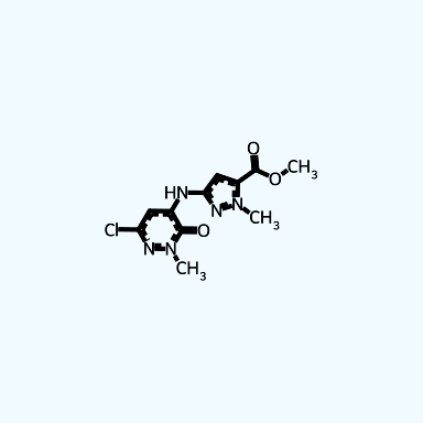 COC(=O)c1cc(Nc2cc(Cl)nn(C)c2=O)nn1C